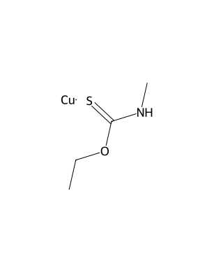 CCOC(=S)NC.[Cu]